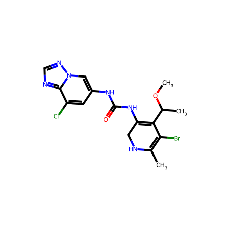 COC(C)C1=C(NC(=O)Nc2cc(Cl)c3ncnn3c2)CNC(C)=C1Br